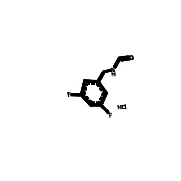 Cl.O=CNCc1cc(F)cc(F)c1